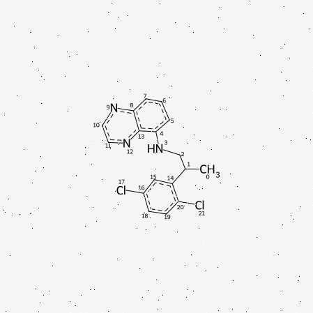 CC(CNc1cccc2nccnc12)c1cc(Cl)ccc1Cl